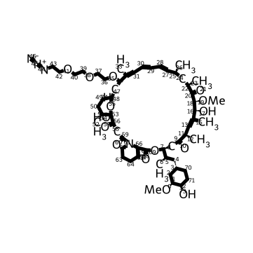 CO[C@@H]1C[C@H](C[C@@H](C)[C@@H]2CC(=O)[C@H](C)/C=C(\C)[C@@H](O)[C@@H](OC)C(=O)[C@H](C)C[C@H](C)/C=C/C=C/C=C(\C)C(OCCOCCOCCN=[N+]=[N-])C[C@@H]3CC[C@@H](C)[C@@](O)(O3)C(=O)CC(=O)N3CCCC[C@H]3C(=O)O2)CC[C@H]1O